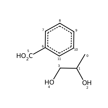 CC(O)CO.O=C(O)c1ccccc1